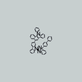 c1ccc(-c2ccc(-c3nc(-n4c5ccccc5c5ccc(-c6cc7c8ccccc8n(-c8ccccc8)c7c7ccccc67)cc54)nc4ccccc34)cc2)cc1